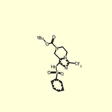 CC(C)(C)OC(=O)N1CCn2c(C(F)(F)F)nc(NS(=O)(=O)c3ccccc3)c2C1